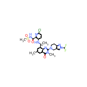 Cc1cc([C@@H](C)Nc2ccc(Cl)nc2C(=O)NS(C)(=O)=O)c2nc(N3CCc4nn(C(F)F)cc4C3)n(C)c(=O)c2c1